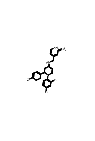 C=C/C=C(\C=C/N)CNC1CCN(c2ccc(Cl)cc2Cl)C(C2=CC=C(Cl)CC2)C1